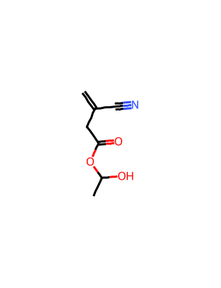 C=C(C#N)CC(=O)OC(C)O